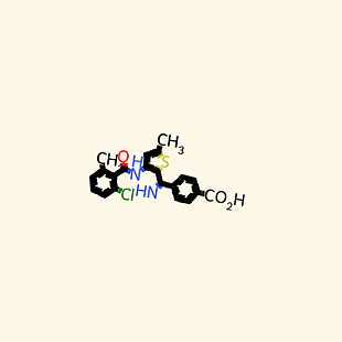 Cc1cc(NC(=O)c2c(C)cccc2Cl)c(C(=N)c2ccc(C(=O)O)cc2)s1